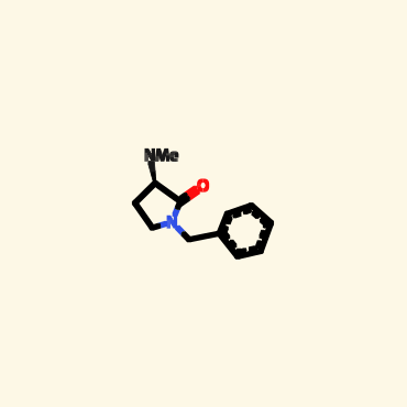 CN[C@@H]1CCN(Cc2ccccc2)C1=O